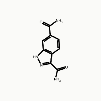 NC(=O)c1ccc2c(C(N)=O)n[nH]c2c1